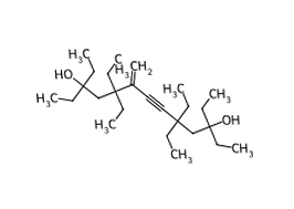 C=C(C#CC(CC)(CC)CC(O)(CC)CC)C(CC)(CC)CC(O)(CC)CC